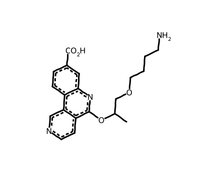 CC(COCCCCN)Oc1nc2cc(C(=O)O)ccc2c2cnccc12